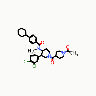 CC(=O)N1CCC(C(=O)N2CCC(N(C)C(=O)c3ccc(C4CCCCC4)cc3)C(c3ccc(Cl)c(Cl)c3)C2)CC1